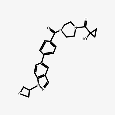 O=C(c1ccc(-c2ccc3c(cnn3C3COC3)c2)cc1)N1CCN(C(=O)C2(O)CC2)CC1